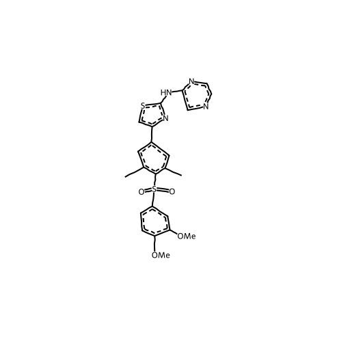 COc1ccc(S(=O)(=O)c2c(C)cc(-c3csc(Nc4cnccn4)n3)cc2C)cc1OC